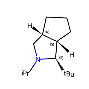 CC(C)N1C[C@@H]2CCC[C@@H]2[C@H]1C(C)(C)C